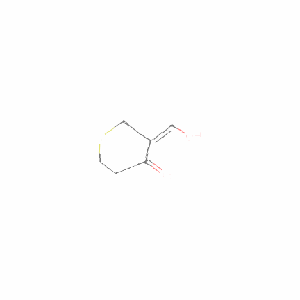 O=C1CCSC/C1=C/O